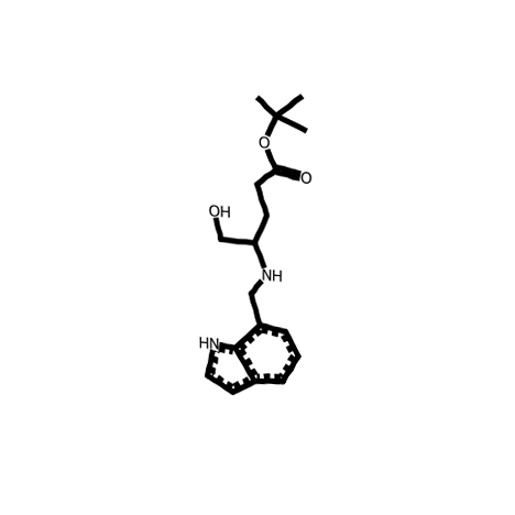 CC(C)(C)OC(=O)CCC(CO)NCc1cccc2cc[nH]c12